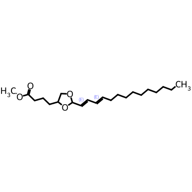 CCCCCCCCCC/C=C/C=C/C1OCC(CCCC(=O)OC)O1